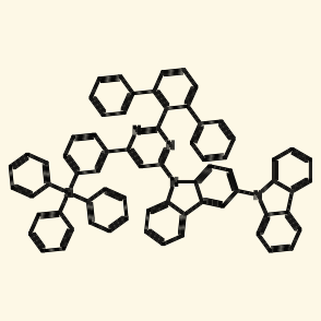 c1ccc(-c2cccc(-c3ccccc3)c2-c2nc(-c3cccc([Si](c4ccccc4)(c4ccccc4)c4ccccc4)c3)cc(-n3c4ccccc4c4cc(-n5c6ccccc6c6ccccc65)ccc43)n2)cc1